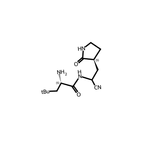 CC(C)(C)C[C@H](N)C(=O)NC(C#N)C[C@@H]1CCNC1=O